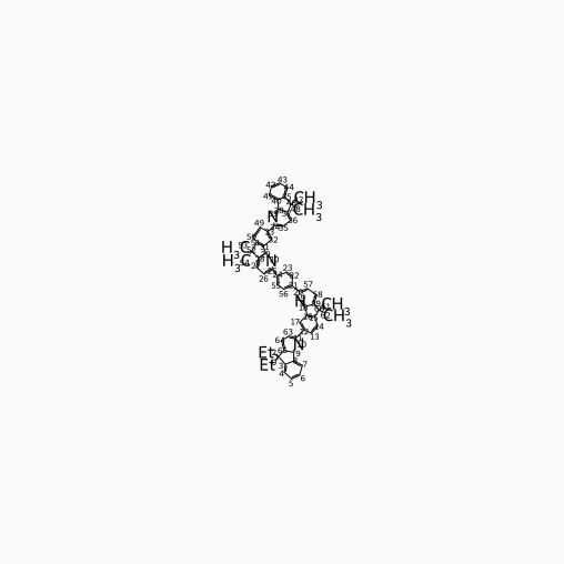 CCC1(CC)c2ccccc2-c2nc(-c3ccc4c(c3)-c3nc(-c5ccc(-c6ccc7c(n6)-c6cc(-c8ccc9c(n8)-c8ccccc8C9(C)C)ccc6C7(C)C)cc5)ccc3C4(C)C)ccc21